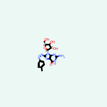 Cc1ccc(/N=N\c2nc3c(=O)[nH]c(N)nc3n2[C@@H]2O[C@H](CO)C(O)[C@@H]2O)cc1